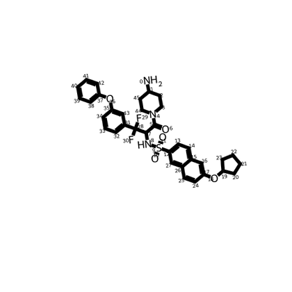 NC1CCN(C(=O)C(NS(=O)(=O)c2ccc3cc(OC4CCCC4)ccc3c2)C(F)(F)c2cccc(Oc3ccccc3)c2)CC1